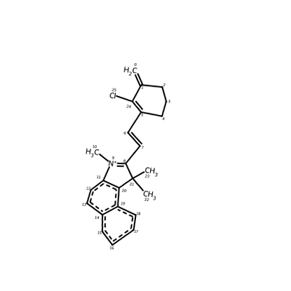 C=C1CCCC(C=CC2=[N+](C)c3ccc4ccccc4c3C2(C)C)=C1Cl